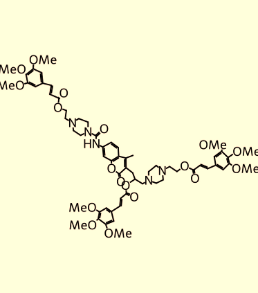 COc1cc(C=CC(=O)OCCN2CCN(CC(Cc3c(C)c4ccc(NC(=O)N5CCN(CCOC(=O)C=Cc6cc(OC)c(OC)c(OC)c6)CC5)cc4oc3=O)OC(=O)C=Cc3cc(OC)c(OC)c(OC)c3)CC2)cc(OC)c1OC